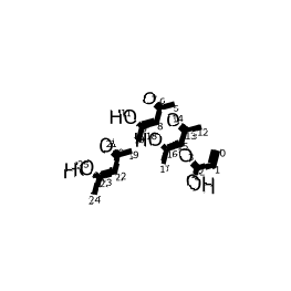 C=CC(=O)O.CC(=O)/C=C(/C)O.CC(=O)/C=C(/C)O.CC(=O)/C=C(/C)O